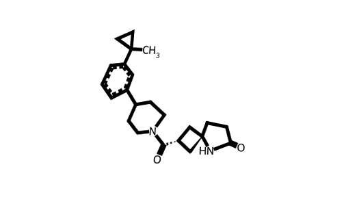 CC1(c2cccc(C3CCN(C(=O)[C@H]4C[C@]5(CCC(=O)N5)C4)CC3)c2)CC1